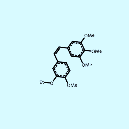 CCOc1cc(/C=C\c2cc(OC)c(OC)c(OC)c2)ccc1OC